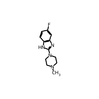 CN1CCN(c2nc3cc(F)ccc3[nH]2)CC1